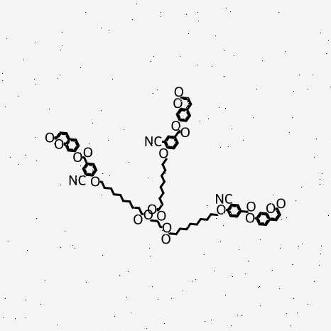 N#Cc1cc(C(=O)Oc2ccc3ccc(=O)oc3c2)ccc1OCCCCCCCCCC(=O)OCC(COC(=O)CCCCCCCCCOc1ccc(C(=O)Oc2ccc3ccc(=O)oc3c2)cc1C#N)OC(=O)CCCCCCCCCOc1ccc(C(=O)Oc2ccc3ccc(=O)oc3c2)cc1C#N